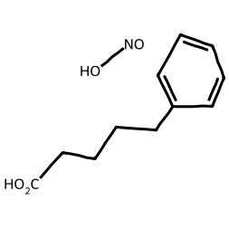 O=C(O)CCCCc1ccccc1.O=NO